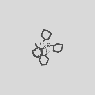 Cc1ccccc1[Si](OC1CCCCC1)(OC1CCCCC1)OC1CCCCC1